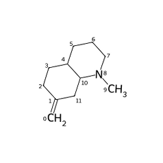 C=C1CCC2CCCN(C)C2C1